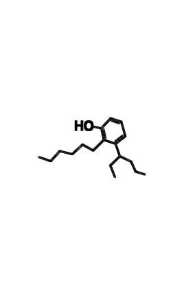 CCCCCCc1c(O)cccc1C(CC)CCC